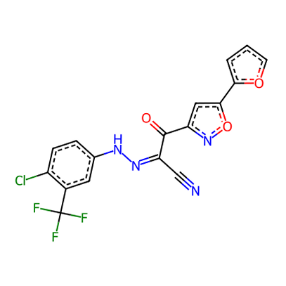 N#CC(=NNc1ccc(Cl)c(C(F)(F)F)c1)C(=O)c1cc(-c2ccco2)on1